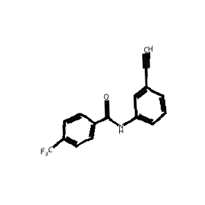 C#Cc1cccc(NC(=O)c2ccc(C(F)(F)F)cc2)c1